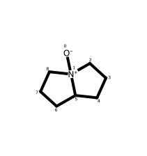 [O-][N+]12CCCC1CCC2